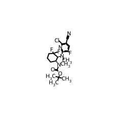 CN(C(=O)OC(C)(C)C)[C@H]1CCCC(F)(F)[C@H]1N(C)c1nc(Cl)c(C#N)cc1F